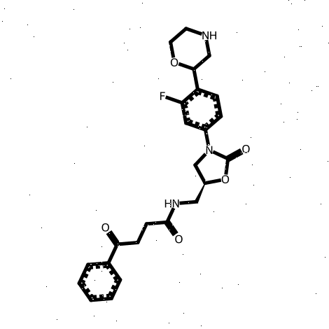 O=C(CCC(=O)c1ccccc1)NC[C@H]1CN(c2ccc(C3CNCCO3)c(F)c2)C(=O)O1